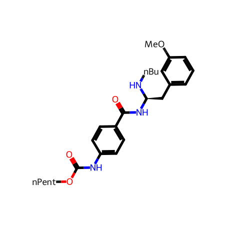 CCCCCOC(=O)Nc1ccc(C(=O)N[C@H](Cc2cccc(OC)c2)NCCCC)cc1